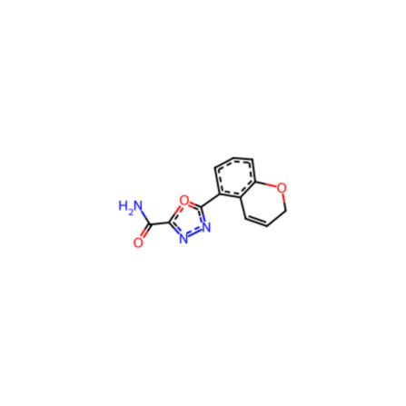 NC(=O)c1nnc(-c2cccc3c2C=CCO3)o1